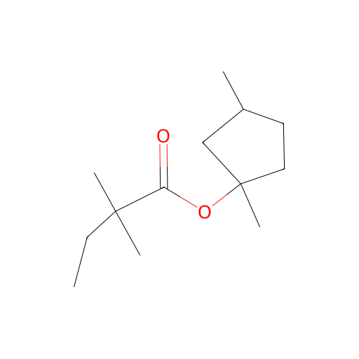 CCC(C)(C)C(=O)OC1(C)CCC(C)C1